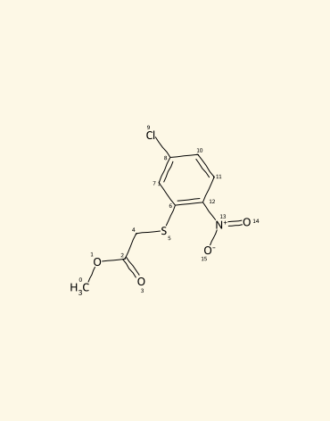 COC(=O)CSc1[c]c(Cl)ccc1[N+](=O)[O-]